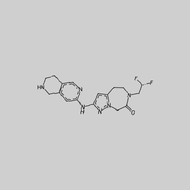 O=C1Cn2nc(Nc3cc4c(cn3)CCNC4)cc2CCN1CC(F)F